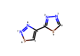 c1nnc(-c2csnn2)s1